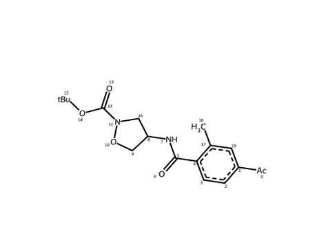 CC(=O)c1ccc(C(=O)NC2CON(C(=O)OC(C)(C)C)C2)c(C)c1